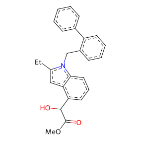 CCc1cc2c(C(O)C(=O)OC)cccc2n1Cc1ccccc1-c1ccccc1